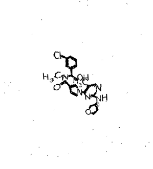 Cc1cnc(N[C@H]2CCOC2)nc1-n1ccc(C(=O)N(C)C(CO)c2cccc(Cl)c2)c1